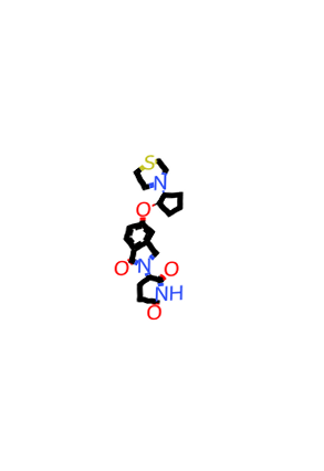 O=C1CCC(N2Cc3cc(O[C@H]4CCC[C@H]4N4CCSCC4)ccc3C2=O)C(=O)N1